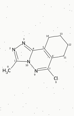 Cc1nnc2c3c(c(Cl)nn12)CCCC3